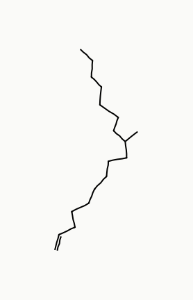 C=CCCCCCCCC(C)CCCCCCC